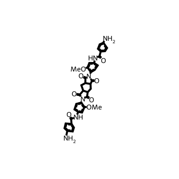 COc1cc(NC(=O)c2ccc(N)cc2)ccc1N1C(=O)C2CC3C(=O)N(c4ccc(NC(=O)c5ccc(N)cc5)cc4OC)C(=O)C3CC2C1=O